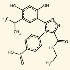 CCNC(=O)c1nnc(-c2cc(C(C)C)c(O)cc2O)n1-c1ccc(S(=O)O)cc1